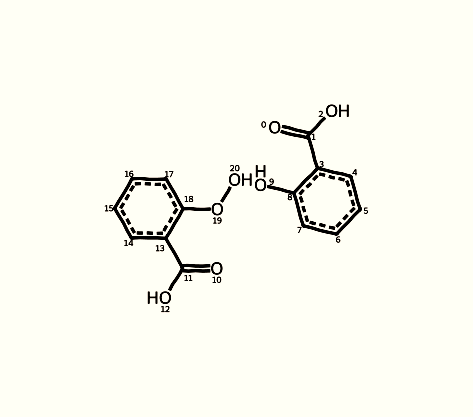 O=C(O)c1ccccc1O.O=C(O)c1ccccc1OO